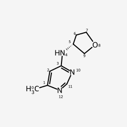 Cc1cc(N[C@@H]2CCOC2)ncn1